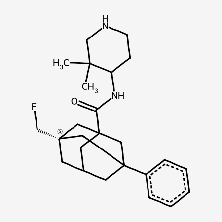 CC1(C)CNCCC1NC(=O)C12CC3CC(c4ccccc4)(C1)C[C@@](CF)(C3)C2